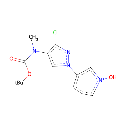 CN(C(=O)OC(C)(C)C)c1cn(-c2ccc[n+](O)c2)nc1Cl